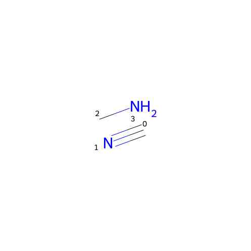 C#N.CN